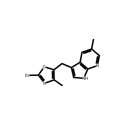 CCc1nc(C)c(Cc2c[nH]c3ncc(C)cc23)o1